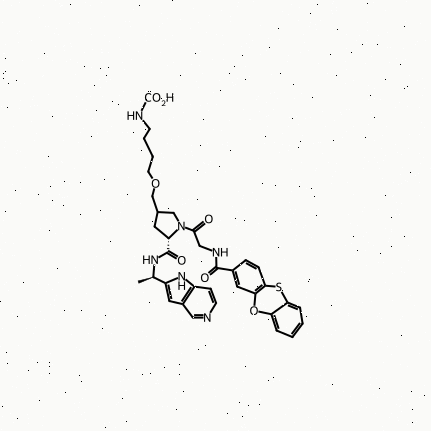 C[C@@H](NC(=O)[C@@H]1CC(COCCCCNC(=O)O)CN1C(=O)CNC(=O)c1ccc2c(c1)Oc1ccccc1S2)c1cc2cnccc2[nH]1